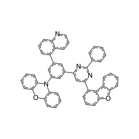 c1ccc(-c2nc(-c3cc(-c4cccc5ncccc45)cc(N4c5ccccc5Oc5ccccc54)c3)cc(-c3cccc4oc5ccccc5c34)n2)cc1